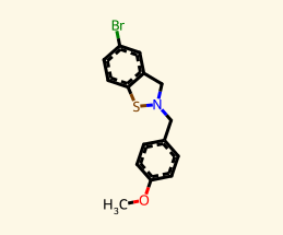 COc1ccc(CN2Cc3cc(Br)ccc3S2)cc1